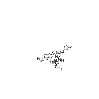 Cc1ccc2cc(Sc3nc(Nc4cc(C)[nH]n4)cc(N4CC(C5CCC(F)C5)C4)n3)ccc2n1